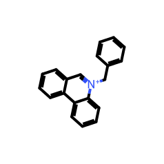 c1ccc(C[n+]2cc3ccccc3c3ccccc32)cc1